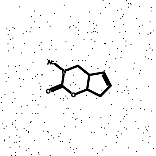 CC(=O)N1CC2C=CCC2OC1=O